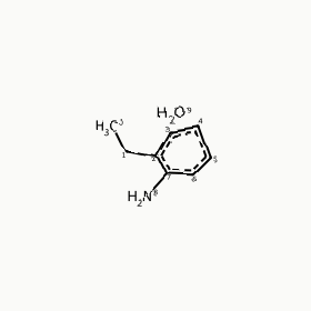 CCc1ccccc1N.O